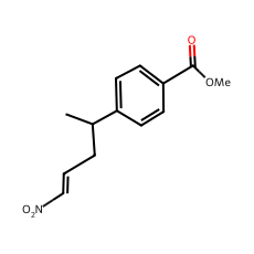 COC(=O)c1ccc(C(C)CC=C[N+](=O)[O-])cc1